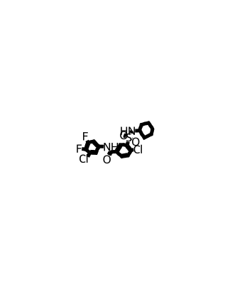 O=C(Nc1cc(F)c(F)c(Cl)c1)c1ccc(Cl)c(S(=O)(=O)NC2CCCCC2)c1